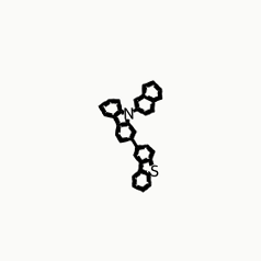 c1ccc2cc(-n3c4ccccc4c4ccc(-c5ccc6sc7ccccc7c6c5)cc43)ccc2c1